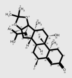 CC(=O)C(O)C(=O)[C@@]12OC(C)(C)O[C@@H]1C[C@H]1[C@@H]3C[C@H](F)C4=CC(=O)CC[C@]4(C)[C@@]3(F)[C@@H](O)C[C@@]12C